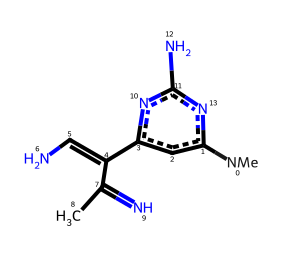 CNc1cc(/C(=C/N)C(C)=N)nc(N)n1